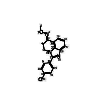 CON=C1CCn2c(-c3ccc(Cl)cc3)nc3cccc1c32